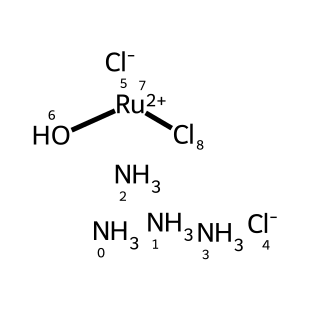 N.N.N.N.[Cl-].[Cl-].[OH][Ru+2][Cl]